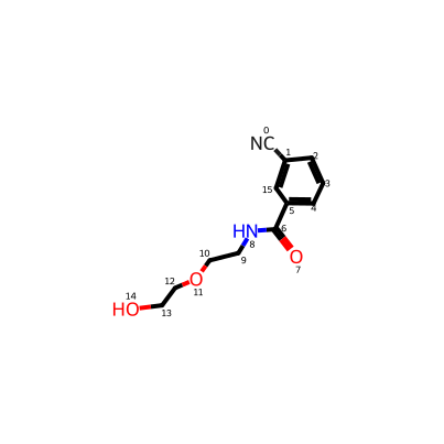 N#Cc1cccc(C(=O)NCCOCCO)c1